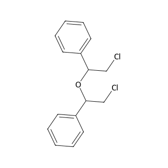 ClCC(OC(CCl)c1ccccc1)c1ccccc1